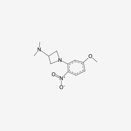 COc1ccc([N+](=O)[O-])c(N2CC(N(C)C)C2)c1